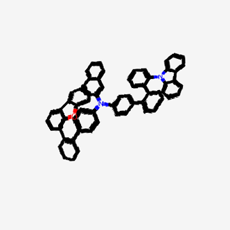 C1=CC(c2cccc3c2oc2ccccc23)=C(c2ccc(N(c3ccc(-c4ccccc4-c4ccccc4-n4c5ccccc5c5ccccc54)cc3)c3ccc4ccccc4c3)cc2)CC1